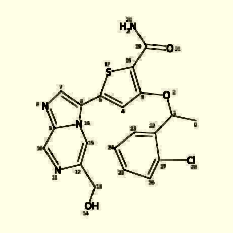 CC(Oc1cc(-c2cnc3cnc(CO)cn23)sc1C(N)=O)c1ccccc1Cl